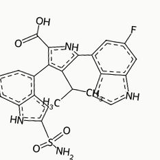 CC(C)c1c(-c2cc(F)cc3[nH]ccc23)[nH]c(C(=O)O)c1-c1cccc2[nH]c(S(N)(=O)=O)cc12